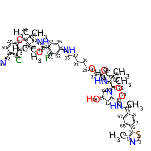 Cc1ncsc1-c1ccc([C@H](C)NC(=O)[C@@H]2C[C@@H](O)CN2C(=O)[C@@H](NC(=O)COCCCCCNc2ccc(C(=O)N[C@H]3C(C)(C)[C@H](Oc4ccc(C#N)c(Cl)c4)C3(C)C)c(F)c2)C(C)(C)C)cc1